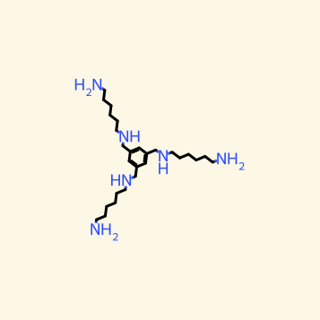 NCCCCCCNCc1cc(CNCCCCCCN)cc(CNCCCCCCN)c1